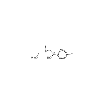 COCCN(C)C[C@H](O)c1ccc(Cl)cc1